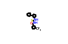 O=C(NC(=S)Nc1cccc(-c2ccccc2)c1)c1cccc(C(F)(F)F)c1